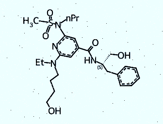 CCCN(c1cc(C(=O)N[C@H](CO)Cc2ccccc2)cc(N(CC)CCCCO)n1)S(C)(=O)=O